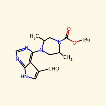 CC1CN(c2ncnc3[nH]cc(C=O)c23)C(C)CN1C(=O)OC(C)(C)C